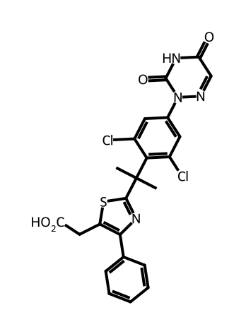 CC(C)(c1nc(-c2ccccc2)c(CC(=O)O)s1)c1c(Cl)cc(-n2ncc(=O)[nH]c2=O)cc1Cl